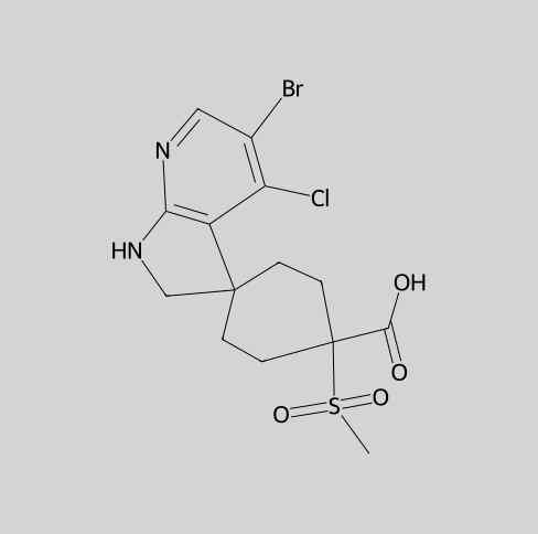 CS(=O)(=O)C1(C(=O)O)CCC2(CC1)CNc1ncc(Br)c(Cl)c12